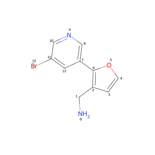 NCc1ccoc1-c1cncc(Br)c1